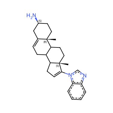 C[C@]12CC[C@H](N)CC1=CCC1C2CC[C@]2(C)C(n3cnc4ccccc43)=CCC12